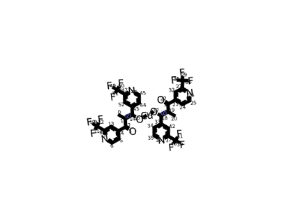 C/C(C(=O)c1ccnc(C(F)(F)F)c1)=C(/[O][Cu][O]/C(=C(/C)C(=O)c1ccnc(C(F)(F)F)c1)c1ccnc(C(F)(F)F)c1)c1ccnc(C(F)(F)F)c1